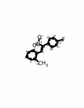 Cc1ccccc1/C=C(/c1ccc(F)cc1)[N+](=O)[O-]